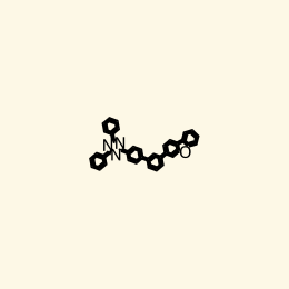 c1ccc(-c2nc(-c3ccccc3)nc(-c3ccc(-c4cccc(-c5ccc6c(c5)oc5ccccc56)c4)cc3)n2)cc1